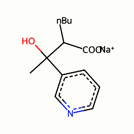 CCCCC(C(=O)[O-])C(C)(O)c1cccnc1.[Na+]